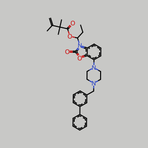 C=C(C)C(C)(C)C(=O)OC(CC)n1c(=O)oc2c(N3CCN(Cc4cccc(-c5ccccc5)c4)CC3)cccc21